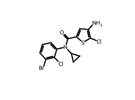 Nc1cc(C(=O)N(c2cccc(Br)c2Cl)C2CC2)sc1Cl